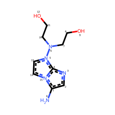 Nc1cnc2n(N(CCO)CCO)ccn12